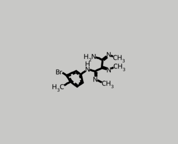 CN=C(Nc1ccc(C)c(Br)c1)C(=N/C)/C(N)=N\C